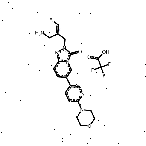 NC/C(=C\F)Cn1nc2ccc(-c3ccc(N4CCOCC4)nc3)cn2c1=O.O=C(O)C(F)(F)F